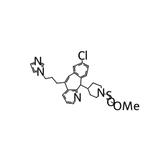 COOSN1CCC(C2c3ccc(Cl)cc3C=C(CCCn3ccnc3)c3cccnc32)CC1